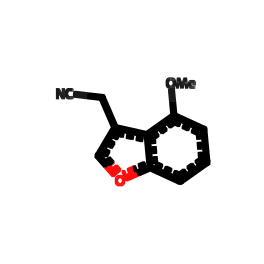 COc1cccc2occ(CC#N)c12